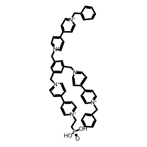 O=P(O)(O)CC[n+]1ccc(-c2cc[n+](Cc3cc(C[n+]4ccc(-c5cc[n+](Cc6ccccc6)cc5)cc4)cc(C[n+]4ccc(-c5cc[n+](Cc6ccccc6)cc5)cc4)c3)cc2)cc1